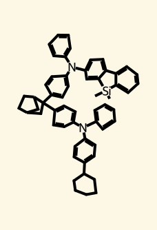 C[Si]1(C)c2ccccc2-c2ccc(N(c3ccccc3)c3ccc(C4(c5ccc(N(c6ccccc6)c6ccc(C7CCCCC7)cc6)cc5)CC5CCC4C5)cc3)cc21